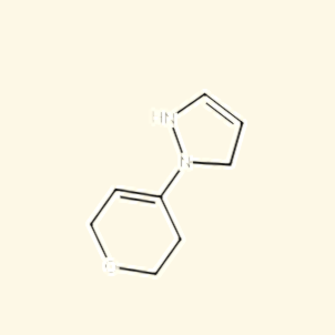 C1=CNN(C2=CCOCC2)C1